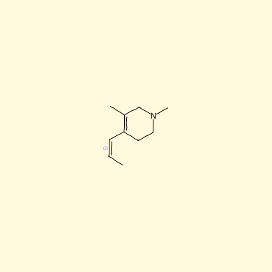 C/C=C\C1=C(C)CN(C)CC1